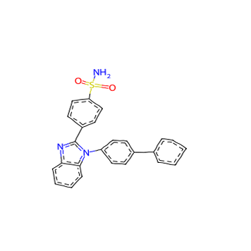 NS(=O)(=O)c1ccc(-c2nc3ccccc3n2-c2ccc(-c3ccccc3)cc2)cc1